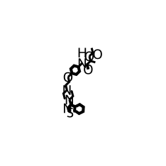 CC(=O)OC(C)C(=O)Nc1ccc(OCCN2CCN(c3nsc4ccccc34)CC2)cc1